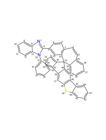 C1=Cc2ccc(-c3nc4ccccc4n3-c3ccccc3)cc2C2(c3ccccc31)c1ccccc1-c1cc3sc4ccccc4c3cc12